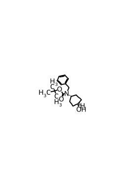 [2H][C@]1(O)CC[C@H](N(Cc2ccccc2)C(=O)OC(C)(C)C)CC1